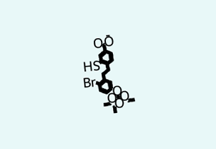 CCOC(OCC)(OCC)Oc1ccc(Br)c(CCc2ccc(C(=O)OC)cc2S)c1